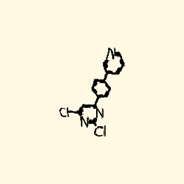 Clc1cc(-c2ccc(-c3cccnc3)cc2)nc(Cl)n1